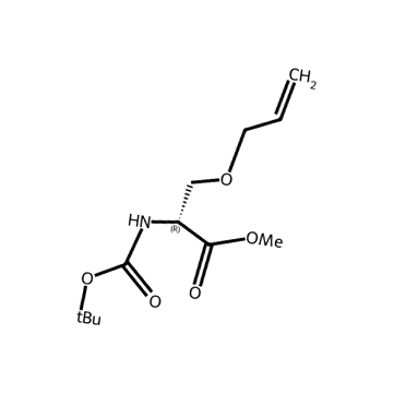 C=CCOC[C@@H](NC(=O)OC(C)(C)C)C(=O)OC